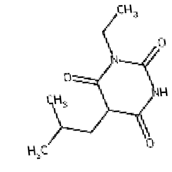 CCN1C(=O)NC(=O)C(CC(C)C)C1=O